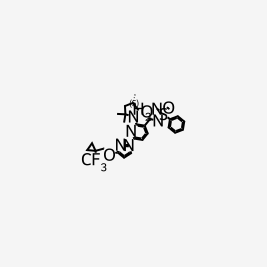 C[C@@H]1CN(c2nc(-n3ccc(OCC4(C(F)(F)F)CC4)n3)ccc2C(=O)N=S(N)(=O)c2ccccc2)C(C)(C)C1